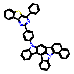 c1ccc(-c2nc(-c3ccc(-n4c5ccccc5c5c6c7ccccc7n7c8c9ccccc9ccc8c(cc54)c67)cc3)nc3c2sc2ccccc23)cc1